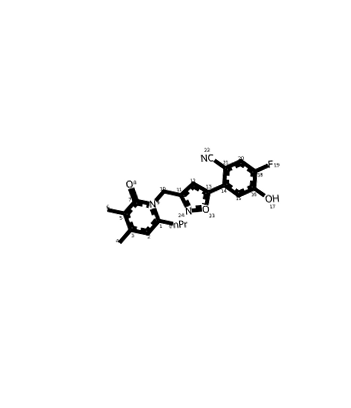 CCCc1cc(C)c(C)c(=O)n1Cc1cc(-c2cc(O)c(F)cc2C#N)on1